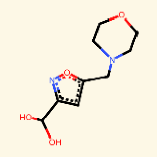 OC(O)c1cc(CN2CCOCC2)on1